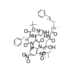 CC(C)C[C@@H]([C@@H](O)CC(=O)NC(=O)C[C@@H](C)[CH]/C=C/c1ccccc1)N(C(=O)[C@H](Cc1c[nH]cn1)NC(=O)[C@H](Cc1ccccc1)NC(=O)OC(C)(C)C)c1ccc([N+](=O)[O-])cc1[N+](=O)[O-]